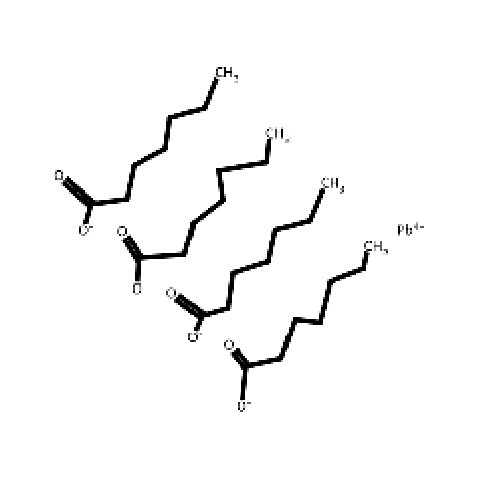 CCCCCCC(=O)[O-].CCCCCCC(=O)[O-].CCCCCCC(=O)[O-].CCCCCCC(=O)[O-].[Pb+4]